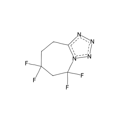 FC1(F)CCc2nnnn2C(F)(F)C1